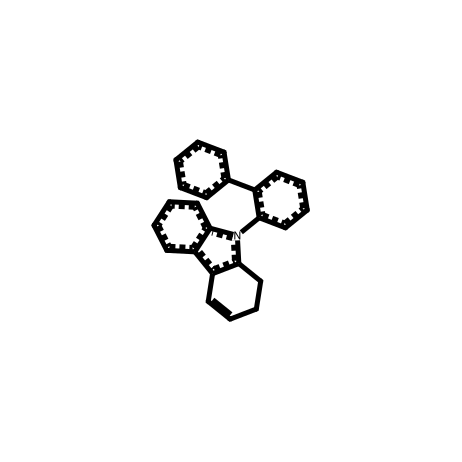 C1=Cc2c(n(-c3ccccc3-c3ccccc3)c3ccccc23)CC1